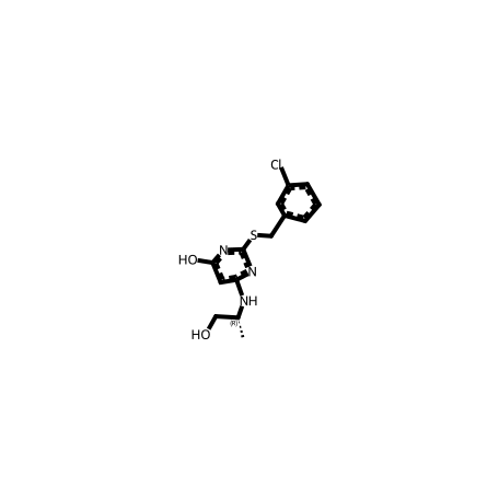 C[C@H](CO)Nc1cc(O)nc(SCc2cccc(Cl)c2)n1